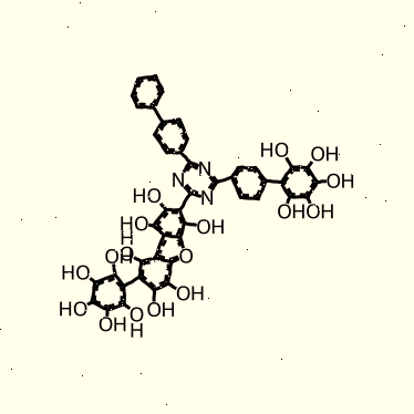 Oc1c(O)c(O)c(-c2ccc(-c3nc(-c4ccc(-c5ccccc5)cc4)nc(-c4c(O)c(O)c5c(oc6c(O)c(O)c(-c7c(O)c(O)c(O)c(O)c7O)c(O)c65)c4O)n3)cc2)c(O)c1O